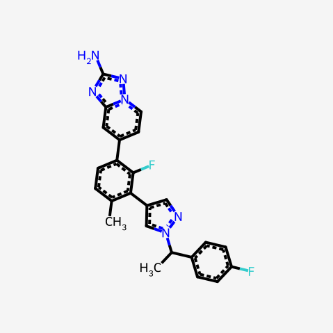 Cc1ccc(-c2ccn3nc(N)nc3c2)c(F)c1-c1cnn(C(C)c2ccc(F)cc2)c1